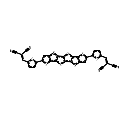 N#CC(C#N)=Cc1ccc(-c2cc3sc4c(sc5c6sc7cc(-c8ccc(C=C(C#N)C#N)s8)sc7c6sc45)c3s2)s1